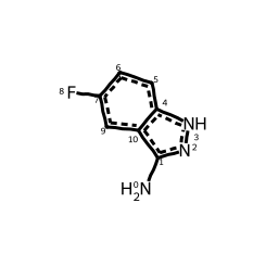 Nc1n[nH]c2c[c]c(F)cc12